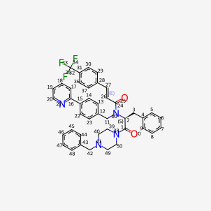 O=C([C@H](Cc1ccccc1)N(Cc1ccc(-c2ccccn2)cc1)C(=O)/C=C/c1ccc(C(F)(F)F)cc1)N1CCN(Cc2ccccc2)CC1